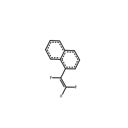 FC(F)=C(F)c1cccc2ccccc12